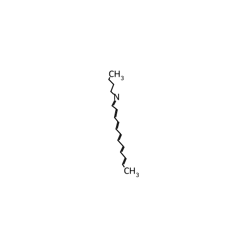 C/C=C/C=C/C=C/C=C/C=C/C=N/CCCC